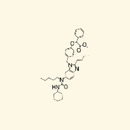 CCCCCN(C(=O)NC1CCCCC1)c1ccc2nc(CCCC)n(Cc3ccc(OC(C(=O)OC)c4ccccc4)cc3)c2c1